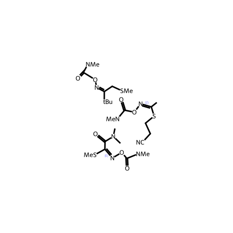 CNC(=O)O/N=C(/C)SCCC#N.CNC(=O)O/N=C(/SC)C(=O)N(C)C.CNC(=O)ON=C(CSC)C(C)(C)C